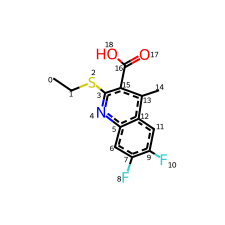 CCSc1nc2cc(F)c(F)cc2c(C)c1C(=O)O